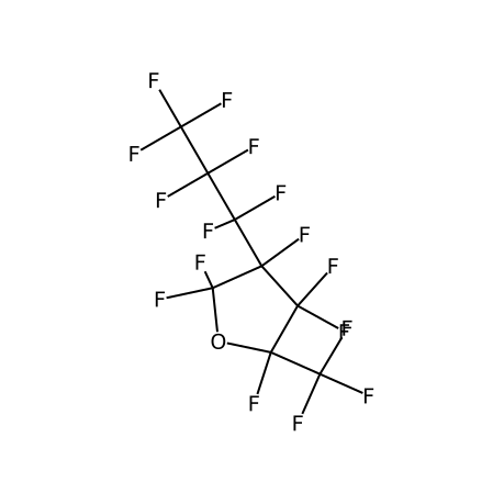 FC(F)(F)C(F)(F)C(F)(F)C1(F)C(F)(F)OC(F)(C(F)(F)F)C1(F)F